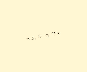 C=C(C)C(=O)OCCOC(=O)NCC(C)(C)CC(C)CCNC(=O)OCC1CCC(COC(=O)NCCC(C)CC(C)(C)CNC(=O)OCCOC(=O)C(=C)C)CC1